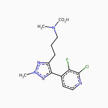 CN(CCCc1nn(C)nc1-c1ccnc(Cl)c1F)C(=O)O